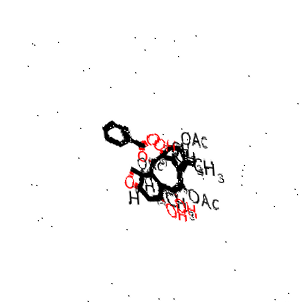 CC(=O)O[C@H]1C[C@@]2(O)[C@@H](OC(=O)c3ccccc3)[C@@H]3[C@]4(OC(C)=O)CO[C@@H]4C[C@H](O)[C@@]3(C)[C@@H](O)[C@H](OC(C)=O)C(=C1C)C2(C)C